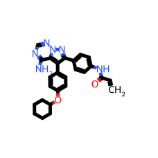 C=CC(=O)Nc1ccc(-c2nn3ncnc(N)c3c2-c2ccc(OC3CCCCC3)cc2)cc1